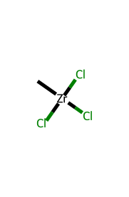 [CH3][Zr]([Cl])([Cl])[Cl]